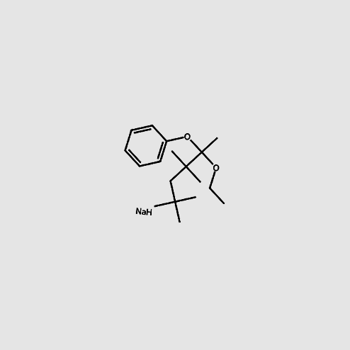 CCOC(C)(Oc1ccccc1)C(C)(C)CC(C)(C)C.[NaH]